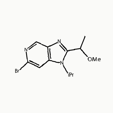 COC(C)c1nc2cnc(Br)cc2n1C(C)C